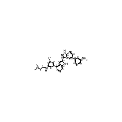 CN(C)CCNc1cc(F)cc(-c2cncc3[nH]c(-c4n[nH]c5ncc(-c6cncc(N)c6)cc45)cc23)c1